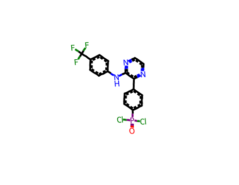 O=P(Cl)(Cl)c1ccc(-c2nccnc2Nc2ccc(C(F)(F)F)cc2)cc1